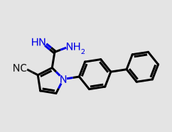 N#Cc1ccn(-c2ccc(-c3ccccc3)cc2)c1C(=N)N